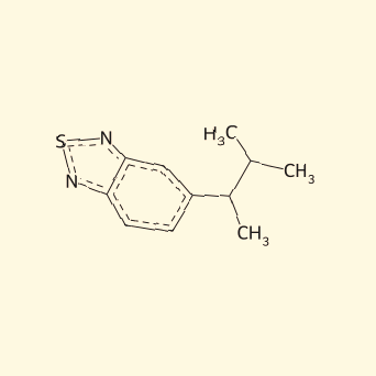 CC(C)C(C)c1ccc2nsnc2c1